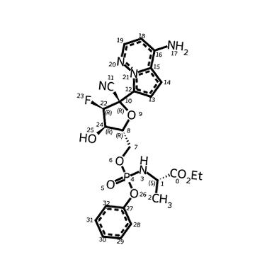 CCOC(=O)[C@H](C)NP(=O)(OC[C@H]1O[C@@](C#N)(c2ccc3c(N)ccnn23)[C@H](F)[C@@H]1O)Oc1ccccc1